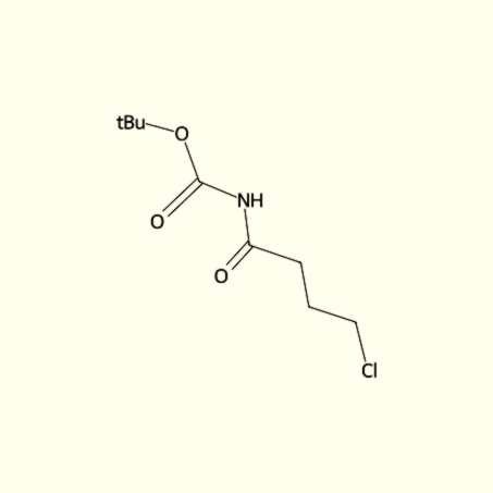 CC(C)(C)OC(=O)NC(=O)CCCCl